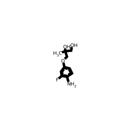 CC(O)(CO)COc1ccc(N)c(F)c1